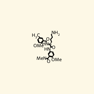 CNC(=O)c1cc(NC(=O)[C@H](CCCCN)NC(=O)c2cc(C)ccc2OC)ccc1OC